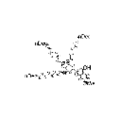 CCCCCCCCCCCCCCCCCCOC1CC(COc2cc(OC)ccc2CO)CC(OCCCCCCCCCCCCCCCCCC)C1OCCCCCCCCCCCCCCCCCC